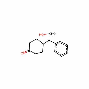 O=C1CCC(Cc2ccccc2)CC1.O=CO